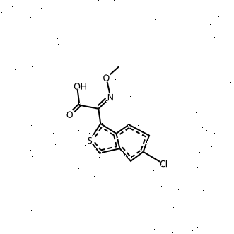 CON=C(C(=O)O)c1scc2cc(Cl)ccc12